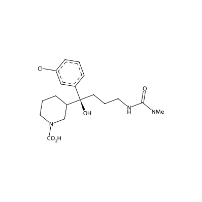 CNC(=O)NCCC[C@@](O)(c1cccc(Cl)c1)C1CCCN(C(=O)O)C1